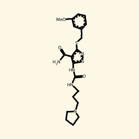 COc1cccc(CSc2nsc(NC(=O)NCCCN3CCCC3)c2C(N)=O)c1